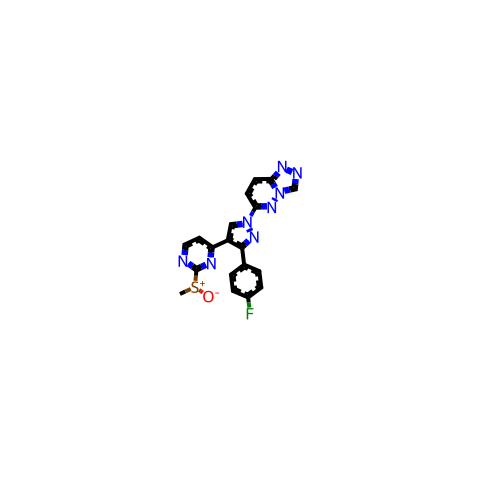 C[S+]([O-])c1nccc(-c2cn(-c3ccc4nncn4n3)nc2-c2ccc(F)cc2)n1